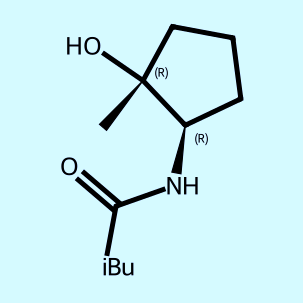 CCC(C)C(=O)N[C@@H]1CCC[C@@]1(C)O